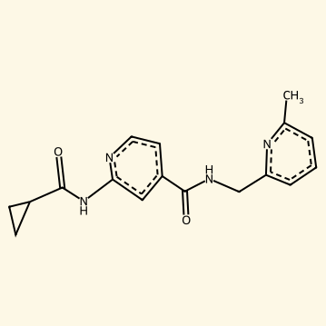 Cc1cccc(CNC(=O)c2ccnc(NC(=O)C3CC3)c2)n1